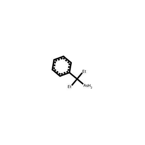 CCC([AsH2])(CC)c1ccccc1